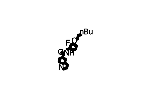 CCCCC=CCOc1cccc(CNC(=O)c2ccc3ncccc3c2)c1F